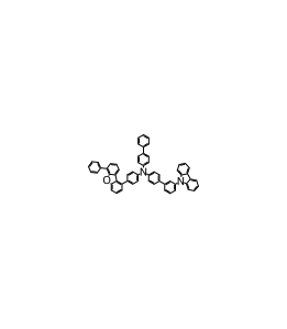 c1ccc(-c2ccc(N(c3ccc(-c4cccc(-n5c6ccccc6c6ccccc65)c4)cc3)c3ccc(-c4cccc5oc6c(-c7ccccc7)cccc6c45)cc3)cc2)cc1